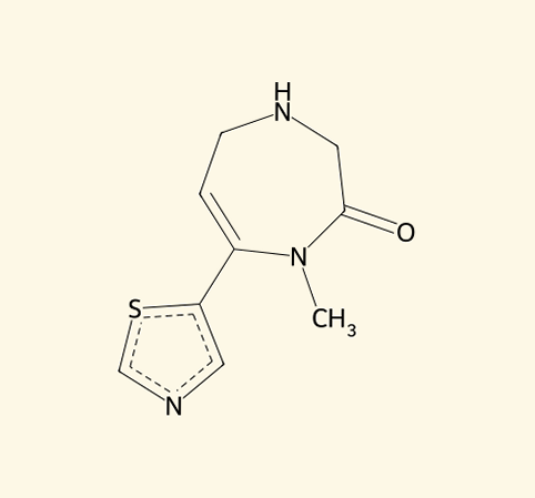 CN1C(=O)CNCC=C1c1cncs1